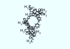 C=CC(=O)N1CC[C@@]([SiH3])(C(=O)N(C)[C@H](C(=O)N[C@H]2Cc3cccc(c3)-c3ccc4c(c3)c(c(-c3cc5c(nc3[C@H](C)OC)CN(C)CC5)n4CC)CC(C)(C)COC[C@]3(C(=O)[SiH3])CCCN(N3)C2=O)C(C)C)C1